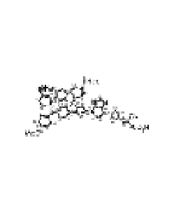 CCCCCCc1ccc(C2(c3ccc(CCCCCC)cc3)c3cc(N(c4ccc(OC)cc4)c4ccc(OC)cc4)ccc3-c3sc(-c4ccc(-c5ccc(/C=C(\C#N)C(=O)O)o5)c5nsnc45)cc32)cc1